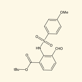 COc1ccc(S(=O)(=O)Nc2c(C=O)cccc2C(=O)OC(C)(C)C)cc1